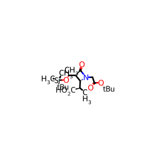 C[C@@H](O[Si](C)(C)C(C)(C)C)[C@H]1C(=O)N(CC(=O)OC(C)(C)C)[C@@H]1[C@@H](C)C(=O)O